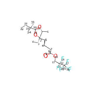 CCC(CC)(CCCC(=O)OCC(F)(F)C(F)(F)F)OC(=O)C(C)(C)CC